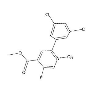 COC(=O)c1cc(-c2cc(Cl)cc(Cl)c2)[n+](O)cc1F